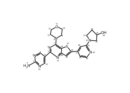 Nc1ncc(-c2nc(N3CCOCC3)c3sc(-c4ccnc(N5CCC(O)C5)c4)cc3n2)cn1